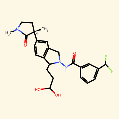 CN1CC[C@](C)(c2ccc3c(c2)CN(NC(=O)c2cccc(C(F)F)c2)C3CCC(O)O)C1=O